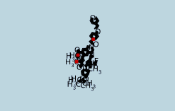 Cc1c(C(=O)N(c2ccc(O[Si](C)(C)C(C)(C)C)cc2)c2cc(C#N)n(C(F)F)c2C)cc(-c2cc3c(cc2C(=O)O)CN(C(=O)Cc2ccc(OCCC4CCOCC4)cc2)CC3)n1C